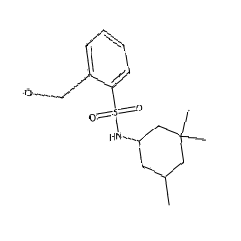 CC1CC(NS(=O)(=O)c2ccccc2C[O])CC(C)(C)C1